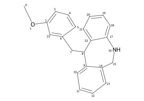 COc1cccc(CC2c3ccccc3CNc3ccccc32)c1